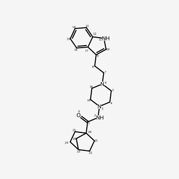 O=C(NN1CCN(CCc2c[nH]c3ccccc23)CC1)C12CCC(CC1)C2